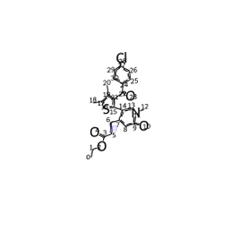 CCOC(=O)/C=C/c1cc(=O)n(C)cc1-c1sc(C)c(C)c1C(=O)c1ccc(Cl)cc1